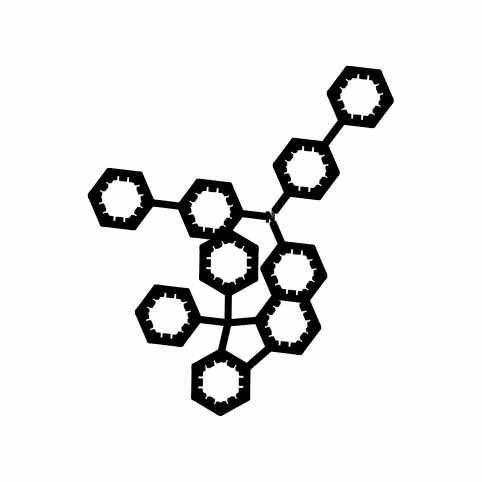 c1ccc(-c2ccc(N(c3ccc(-c4ccccc4)cc3)c3ccc4ccc5c(c4c3)C(c3ccccc3)(c3ccccc3)c3ccccc3-5)cc2)cc1